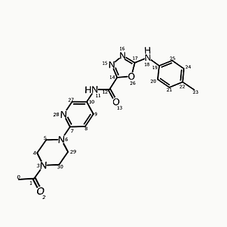 CC(=O)N1CCN(c2ccc(NC(=O)c3nnc(Nc4ccc(C)cc4)o3)cn2)CC1